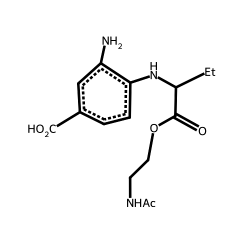 CCC(Nc1ccc(C(=O)O)cc1N)C(=O)OCCNC(C)=O